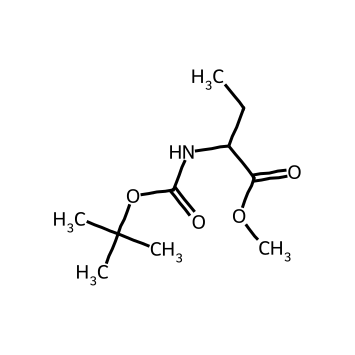 CCC(NC(=O)OC(C)(C)C)C(=O)OC